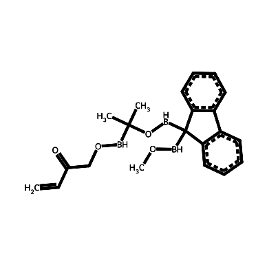 C=CC(=O)COBC(C)(C)OBC1(BOC)c2ccccc2-c2ccccc21